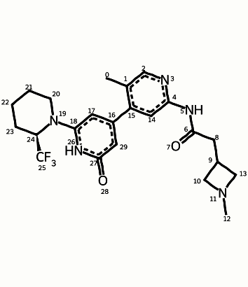 Cc1cnc(NC(=O)CC2CN(C)C2)cc1-c1cc(N2CCCC[C@@H]2C(F)(F)F)[nH]c(=O)c1